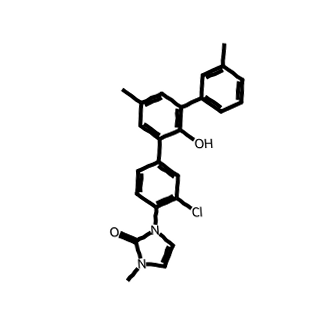 Cc1cccc(-c2cc(C)cc(-c3ccc(-n4ccn(C)c4=O)c(Cl)c3)c2O)c1